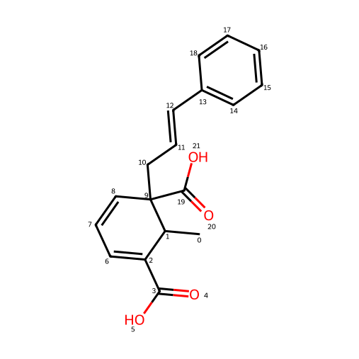 CC1C(C(=O)O)=CC=CC1(CC=Cc1ccccc1)C(=O)O